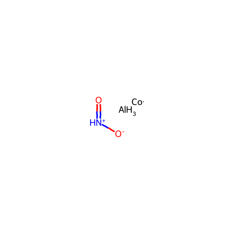 O=[NH+][O-].[AlH3].[Co]